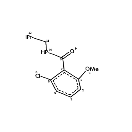 COc1cccc(Cl)c1C(=O)PCC(C)C